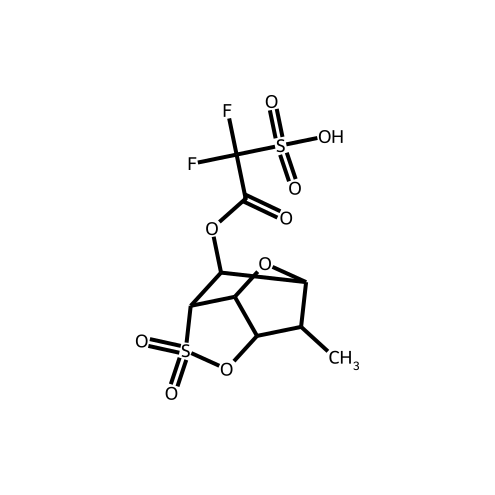 CC1C2OC3C1OS(=O)(=O)C3C2OC(=O)C(F)(F)S(=O)(=O)O